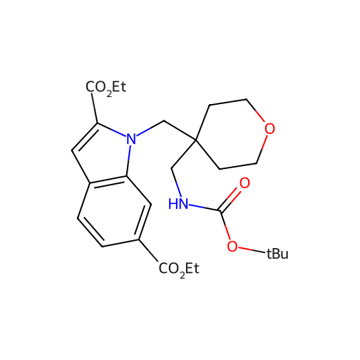 CCOC(=O)c1ccc2cc(C(=O)OCC)n(CC3(CNC(=O)OC(C)(C)C)CCOCC3)c2c1